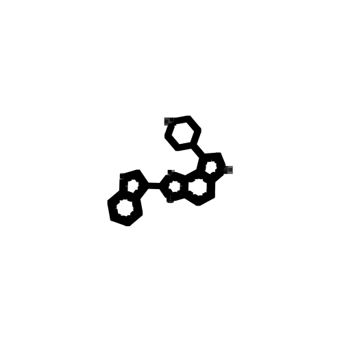 c1ccc2c(-c3nc4c(ccc5[nH]cc(C6CCNCC6)c54)o3)csc2c1